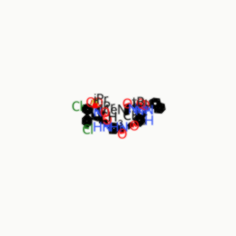 CN[C@@H](C)C(=O)N[C@H](C(=O)N1Cc2cc(OCCNC(=O)c3ccc(NC(=O)C[C@@]4(C)C[C@H](c5cccc(Cl)c5)[C@@H](c5ccc(Cl)cc5)N([C@H](CS(=O)(=O)C(C)C)C(C)C)C4=O)cc3)ccc2C[C@H]1C(=O)N[C@@H]1CCCc2ccccc21)C(C)(C)C